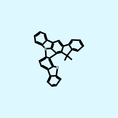 CC1(C)c2ccccc2-c2cc3c4ccccc4n4c5ccc6c7ccccc7oc6c5c(c21)c34